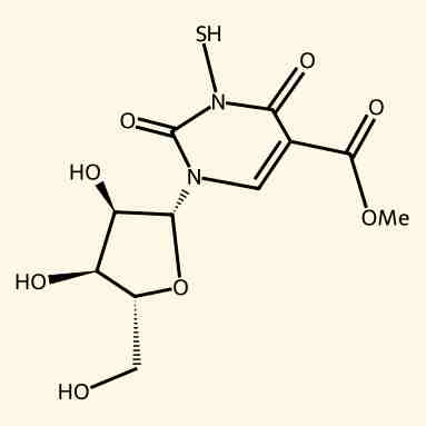 COC(=O)c1cn([C@@H]2O[C@H](CO)[C@@H](O)[C@H]2O)c(=O)n(S)c1=O